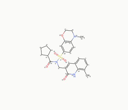 Cc1cccc2cc(CN(C(=O)C3CCCC3)S(=O)(=O)c3ccc4c(c3)OCCN4C)c(=O)[nH]c12